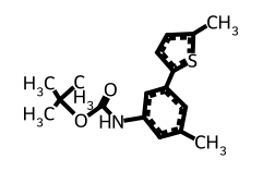 Cc1cc(NC(=O)OC(C)(C)C)cc(-c2ccc(C)s2)c1